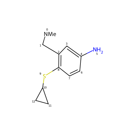 CNCc1cc(N)ccc1SC1CC1